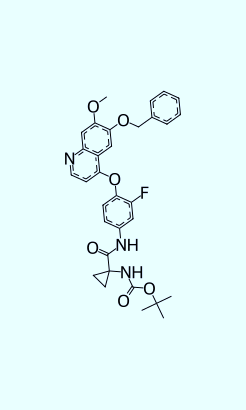 COc1cc2nccc(Oc3ccc(NC(=O)C4(NC(=O)OC(C)(C)C)CC4)cc3F)c2cc1OCc1ccccc1